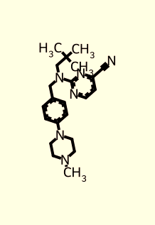 CN1CCN(c2ccc(CN(CC(C)(C)C)c3nccc(C#N)n3)cc2)CC1